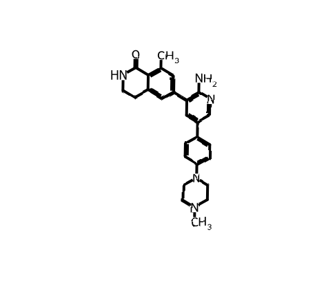 Cc1cc(-c2cc(-c3ccc(N4CCN(C)CC4)cc3)cnc2N)cc2c1C(=O)NCC2